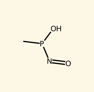 CP(O)N=O